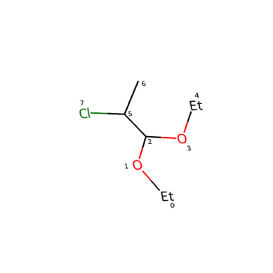 CCOC(OCC)C(C)Cl